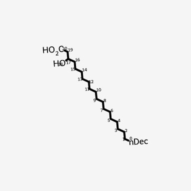 CCCCCCCCCCCCCCCCCCCCCCCCCCC(O)CC(=O)O